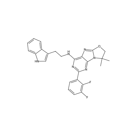 CC1(C)COc2nc3c(NCCc4c[nH]c5ccccc45)nc(-c4cccc(F)c4F)nc3n21